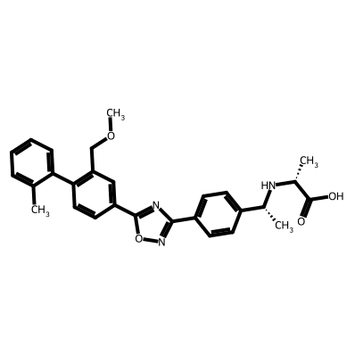 COCc1cc(-c2nc(-c3ccc([C@@H](C)N[C@H](C)C(=O)O)cc3)no2)ccc1-c1ccccc1C